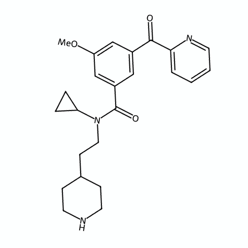 COc1cc(C(=O)c2ccccn2)cc(C(=O)N(CCC2CCNCC2)C2CC2)c1